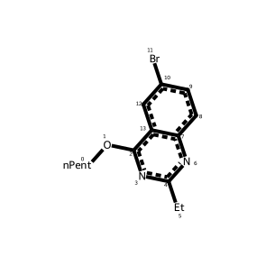 CCCCCOc1nc(CC)nc2ccc(Br)cc12